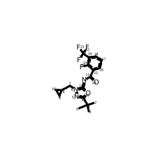 CC(C)(C)c1nn(CC2CC2)/c(=N/C(=O)c2cccc(C(F)(F)F)c2F)o1